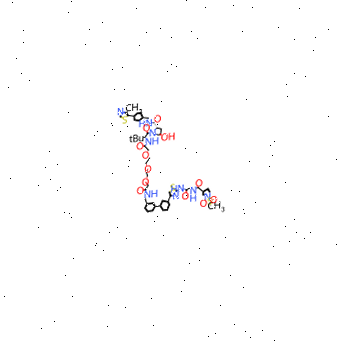 Cc1ncsc1-c1ccc(CNC(=O)[C@@H]2C[C@@H](O)CN2C(=O)[C@@H](NC(=O)COCCOCCOCC(=O)NCc2cccc(-c3cccc(-c4csc(NC(=O)CNC(=O)c5ccn(S(C)(=O)=O)c5)n4)c3)c2)C(C)(C)C)cc1